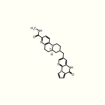 CNC(=O)c1ccc2c(n1)CC[C@@H]1CN(Cc3cnc4c(c3)[nH]c(=O)c3cccn34)CCN21